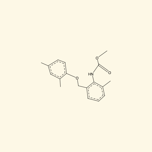 COC(=O)Nc1c(C)cccc1COc1ccc(C)cc1C